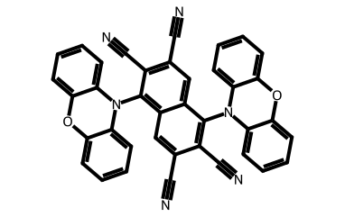 N#Cc1cc2c(N3c4ccccc4Oc4ccccc43)c(C#N)c(C#N)cc2c(N2c3ccccc3Oc3ccccc32)c1C#N